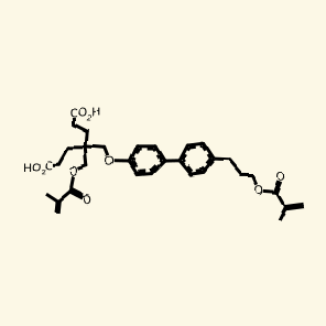 C=C(C)C(=O)OCCCc1ccc(-c2ccc(OCC(CCC(=O)O)(CCC(=O)O)COC(=O)C(=C)C)cc2)cc1